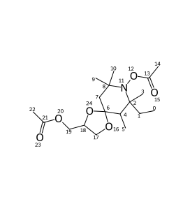 CCC1(C)C(C)C2(CC(C)(C)N1OC(C)=O)OCC(COC(C)=O)O2